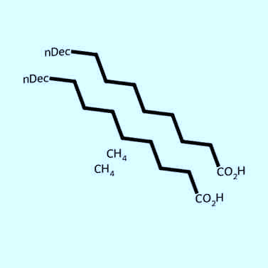 C.C.CCCCCCCCCCCCCCCCCC(=O)O.CCCCCCCCCCCCCCCCCC(=O)O